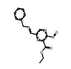 CCOC(=O)c1nc(C=NCc2ccccc2)cnc1N=O